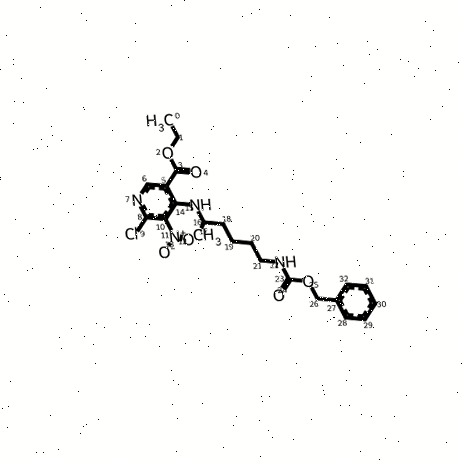 CCOC(=O)c1cnc(Cl)c([N+](=O)[O-])c1NC(C)CCCCNC(=O)OCc1ccccc1